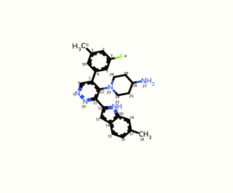 Cc1cc(F)cc(-c2cnnc(-c3cc4ccc(C)cc4[nH]3)c2N2CCC(N)CC2)c1